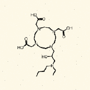 CCCCN(CC)CC(O)CN1CCN(CC(=O)O)CCN(CC(=O)O)CCN(CC(=O)O)CC1